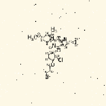 COc1ccc(CN(Cc2ccc(OCCCBr)c(Cl)c2)C(=O)c2cc(C3CC3)nn2C)c(C)c1